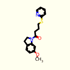 COc1ccc2c(c1)N(C(=O)CCCSc1ccccn1)CC2